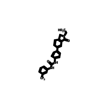 O=C(O)CN1Cc2ccc(-c3ccc(NC(=O)Nc4cccc(C(F)(F)F)c4)cc3)cc2C1=O